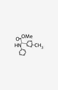 COC(=O)C(Nc1ccccc1)c1ccc(C)cc1